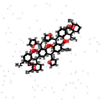 CCC1C2C=CC(C(C)c3c(O)ccc(C(c4ccco4)c4c(O)c(C(c5ccco5)c5cc(C(c6c(O)ccc(C)c6O)C67C=CC(O6)C(CC)C7CC)c(O)c(C(c6ccco6)C(C)(C)C)c5O)cc(C(C)(C)C)c4O)c3O)(O2)C1CC